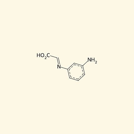 Nc1cccc(N=CC(=O)O)c1